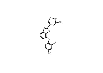 CC1CC(c2cc3cccc(Oc4ccc([N+](=O)[O-])cc4F)c3s2)=CCN1